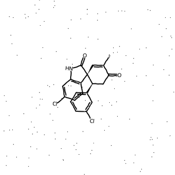 O=C1C[C@@H](c2cccc(Cl)c2)[C@@]2(C=C1I)C(=O)Nc1cc(Cl)ccc12